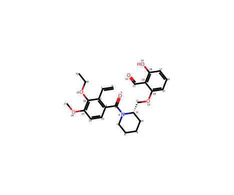 C=Cc1c(C(=O)N2CCCC[C@H]2COc2cccc(O)c2C=O)ccc(OC)c1OCC